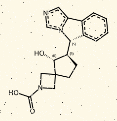 O=C(O)N1CC2(CC[C@H]([C@H]3c4ccccc4-c4cncn43)[C@H]2O)C1